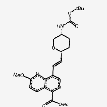 COC(=O)c1ccc(/C=C/[C@@H]2CC[C@@H](NC(=O)OC(C)(C)C)CO2)c2nc(OC)ccc12